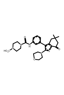 CC1(C)CC(=O)c2sc(N3CCOCC3)c(-c3cccc(NC(=O)N4CCN(C(=O)O)CC4)c3)c2C1